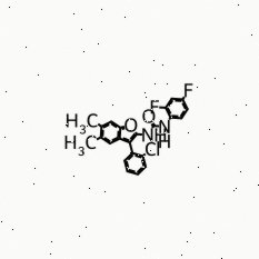 Cc1cc2oc(NC(=O)Nc3ccc(F)cc3F)c(-c3ccccc3Cl)c2cc1C